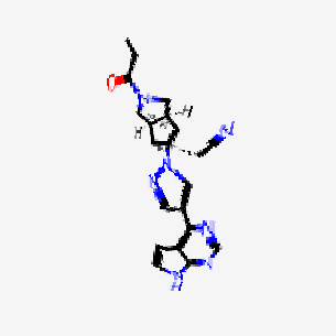 CCC(=O)N1C[C@@H]2C[C@](CC#N)(n3cc(-c4ncnc5[nH]ccc45)cn3)C[C@@H]2C1